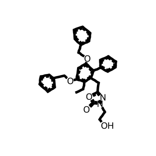 CCc1c(OCc2ccccc2)cc(OCc2ccccc2)c(-c2ccccc2)c1Cc1nn(CCO)c(=O)o1